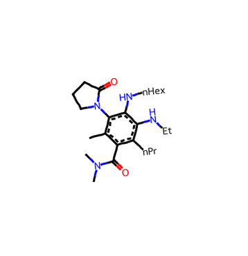 CCCCCCNc1c(NCC)c(CCC)c(C(=O)N(C)C)c(C)c1N1CCCC1=O